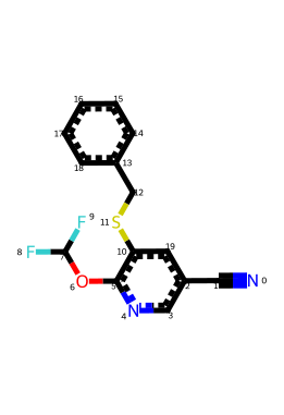 N#Cc1cnc(OC(F)F)c(SCc2ccccc2)c1